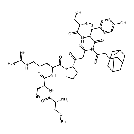 CC(C)C[C@H](NC(=O)[C@H](N)COC(C)(C)C)C(=O)N[C@@H](CCCNC(=N)N)C(=O)N1CCC[C@H]1C(=O)CC(=O)N(C(=O)CC12CC3CC(CC(C3)C1)C2)C(=O)[C@H](Cc1ccc(O)cc1)NC(=O)[C@@H](N)CO